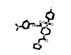 CN(C)c1ccc(CNC(=O)[C@H]2CN(C(=O)CN3CCCC3)CCN2S(=O)(=O)c2ccc(I)cc2)cc1